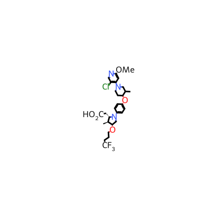 COc1cc(N2CCC(Oc3ccc(N4C[C@H](OCCCC(F)(F)F)[C@@H](C)[C@@H]4CC(=O)O)cc3)C(C)C2)c(Cl)cn1